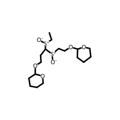 CC[S+]([O-])C(CCOC1CCCCO1)[S+]([O-])CCOC1CCCCO1